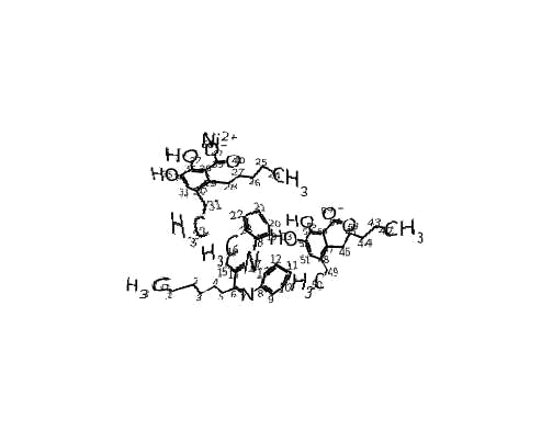 CCCCCCC(=Nc1ccccc1)C(CC)=Nc1ccccc1.CCCCCc1c(CC)cc(O)c(O)c1C(=O)[O-].CCCCCc1c(CC)cc(O)c(O)c1C(=O)[O-].[Ni+2]